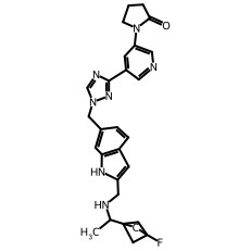 CC(NCc1cc2ccc(Cn3cnc(-c4cncc(N5CCCC5=O)c4)n3)cc2[nH]1)C12CC(F)(C1)C2